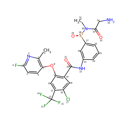 Cc1nc(F)ccc1Oc1cc(C(F)(F)F)c(Cl)cc1C(=O)Nc1cccc([S@@+]([O-])N(C)C(=O)CN)c1